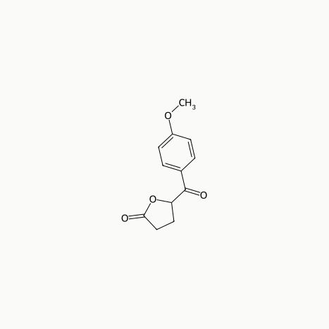 COc1ccc(C(=O)C2CCC(=O)O2)cc1